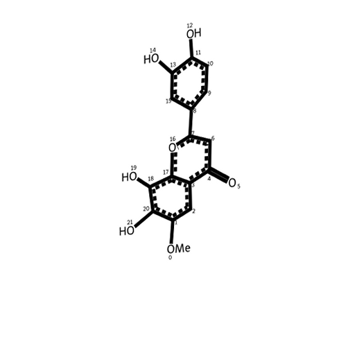 COc1cc2c(=O)cc(-c3ccc(O)c(O)c3)oc2c(O)c1O